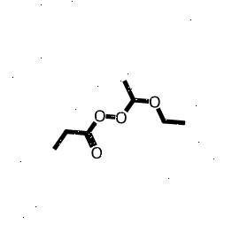 CCOC(C)OOC(=O)CC